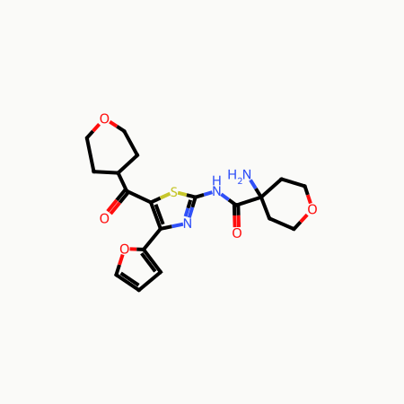 NC1(C(=O)Nc2nc(-c3ccco3)c(C(=O)C3CCOCC3)s2)CCOCC1